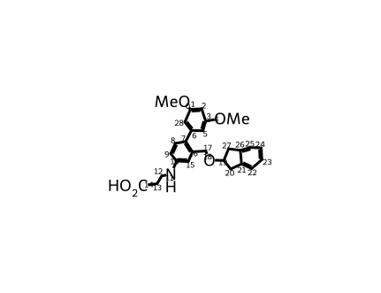 COc1cc(OC)cc(-c2ccc(NCCC(=O)O)cc2COC2Cc3ccccc3C2)c1